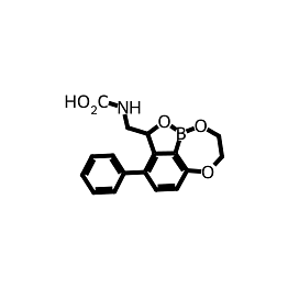 O=C(O)NCC1OB2OCCOc3ccc(-c4ccccc4)c1c32